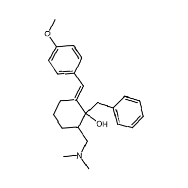 COc1ccc(C=C2CCCC(CN(C)C)C2(O)Cc2ccccc2)cc1